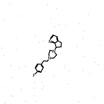 Fc1ccc(CCN2CCN(C3CCc4cccnc43)CC2)cc1